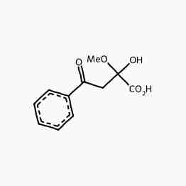 COC(O)(CC(=O)c1ccccc1)C(=O)O